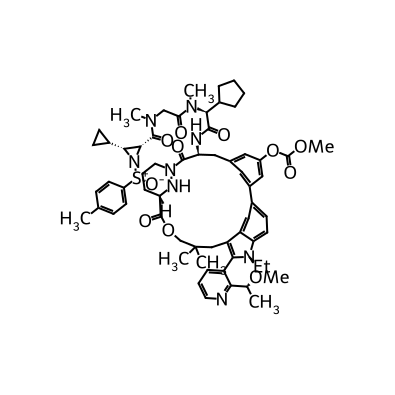 CCn1c(-c2cccnc2[C@H](C)OC)c2c3cc(ccc31)-c1cc(cc(OC(=O)OC)c1)C[C@H](NC(=O)[C@H](C1CCCC1)N(C)C(=O)CN(C)C(=O)[C@H]1[C@@H](C3CC3)N1[S@+]([O-])c1ccc(C)cc1)C(=O)N1CCC[C@H](N1)C(=O)OCC(C)(C)C2